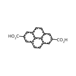 O=C(O)c1cc2ccc3cc(C(=O)O)cc4ccc(c1)c2c34